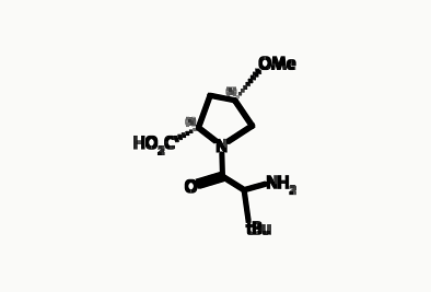 CO[C@H]1C[C@@H](C(=O)O)N(C(=O)C(N)C(C)(C)C)C1